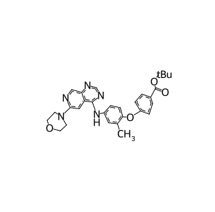 Cc1cc(Nc2ncnc3cnc(N4CCOCC4)cc23)ccc1Oc1ccc(C(=O)OC(C)(C)C)cc1